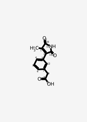 CC1=C(c2cccc(CC(=O)O)c2)C(=O)NC1=O